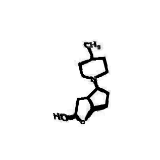 CC1CCN(C2CCC3OC(O)CC32)CC1